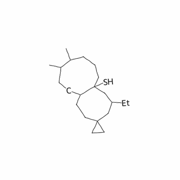 CCC1CC2(CCC3CCC(C)C(C)CCCC3(S)C1)CC2